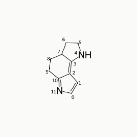 C1=CC2=C3NCCC3CCC2=N1